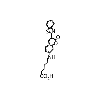 O=C(O)CCCCCNc1ccc2cc(-c3nc4ccccc4s3)c(=O)oc2c1